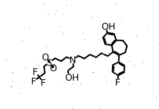 O=S(=O)(CCCN(CCO)CCCCCCC1=C(c2ccc(F)cc2)CCCc2cc(O)ccc21)CCC(F)(F)F